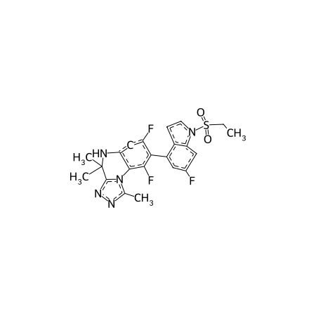 CCS(=O)(=O)n1ccc2c(-c3c(F)cc4c(c3F)-n3c(C)nnc3C(C)(C)N4)cc(F)cc21